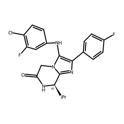 CC(C)[C@H]1NC(=O)Cn2c1nc(-c1ccc(F)cc1)c2Nc1ccc(Cl)c(F)c1